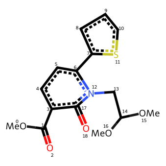 COC(=O)c1ccc(-c2cccs2)n(CC(OC)OC)c1=O